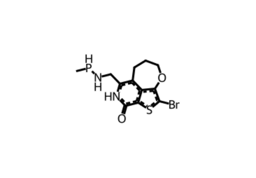 CPNCc1[nH]c(=O)c2sc(Br)c3c2c1CCCO3